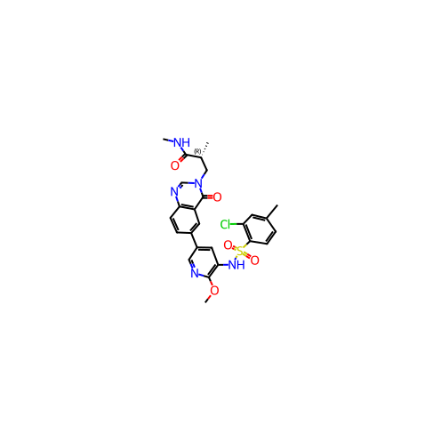 CNC(=O)[C@H](C)Cn1cnc2ccc(-c3cnc(OC)c(NS(=O)(=O)c4ccc(C)cc4Cl)c3)cc2c1=O